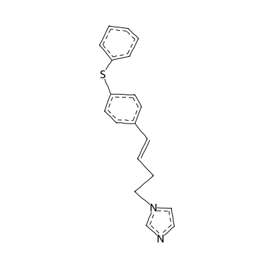 C(=Cc1ccc(Sc2ccccc2)cc1)CCn1ccnc1